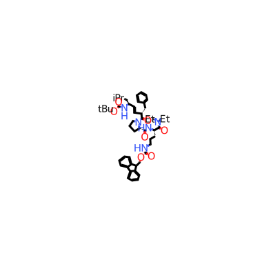 CCN(CC)C(=O)[C@H](CCCNC(=O)OCC1c2ccccc2-c2ccccc21)NC(=O)[C@@H]1CCCN1C(=O)[C@H](/C=C/[C@H](CC(C)C)NC(=O)OC(C)(C)C)Cc1ccccc1